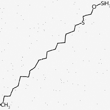 CCCCCCCCCCCCCCCCCCSCCO[SiH3]